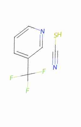 FC(F)(F)c1cccnc1.N#CS